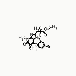 CCOC(=O)C(C)(C)Cc1nc2c(c(=O)n(C)c(=O)n2C)n1Cc1cccc(Br)c1